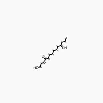 CCCC(O)CCCCCCC(=O)OCCO